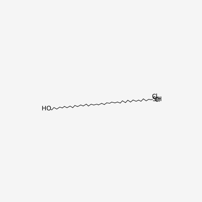 OCCCCCCCCCCCCCCCCCCCCCCCCCCCCCCCCCCCCCCC[SiH](Cl)Cl